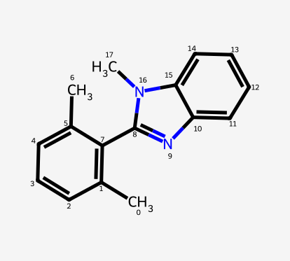 Cc1cccc(C)c1-c1nc2ccccc2n1C